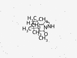 CCc1c(C(C)(C)C)c(C(C)(C)C)c2cc[nH]n2c1=O